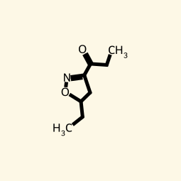 CCC(=O)C1=NOC(CC)C1